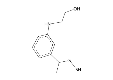 CC(SS)c1cccc(NCCO)c1